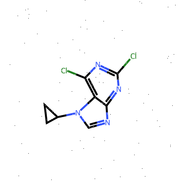 Clc1nc(Cl)c2c(ncn2C2CC2)n1